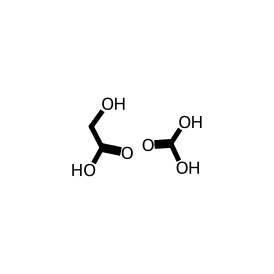 O=C(O)CO.O=C(O)O